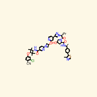 Cc1ncsc1-c1ccc([C@H](C)NC(=O)C2C[C@@H](O)CN2C(=O)[C@H](C(C)C)n2cc(-c3ccnc(OC4CN(c5ccc(C(=O)N[C@H]6C(C)(C)[C@H](Oc7ccc(C#N)c(Cl)c7)C6(C)C)cn5)C4)c3)cn2)cc1